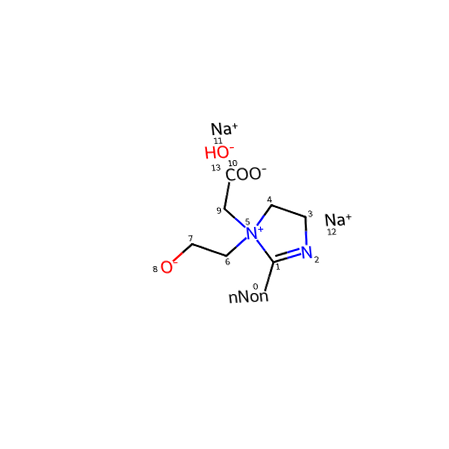 CCCCCCCCCC1=NCC[N+]1(CC[O-])CC(=O)[O-].[Na+].[Na+].[OH-]